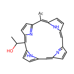 CC(=O)c1c2nc(c(C(C)O)c3ccc(cc4nc(cc5ccc1[nH]5)C=C4)[nH]3)C=C2